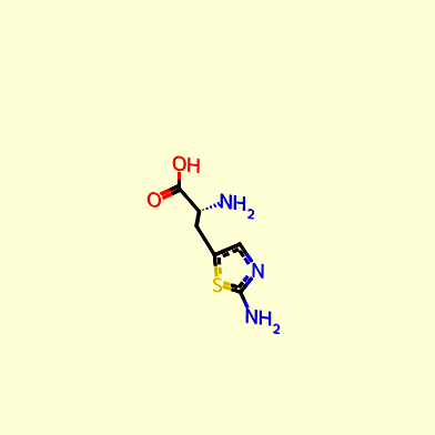 Nc1ncc(C[C@@H](N)C(=O)O)s1